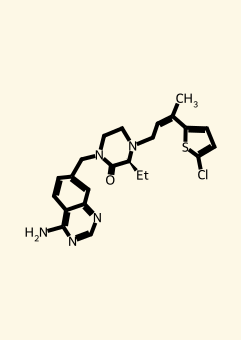 CC[C@H]1C(=O)N(Cc2ccc3c(N)ncnc3c2)CCN1CC=C(C)c1ccc(Cl)s1